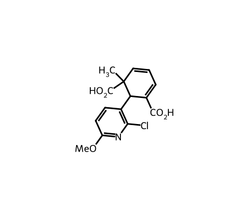 COc1ccc(C2C(C(=O)O)=CC=CC2(C)C(=O)O)c(Cl)n1